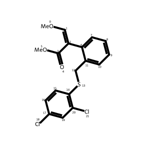 COC=C(C(=O)OC)c1ccccc1CSc1ccc(Cl)cc1Cl